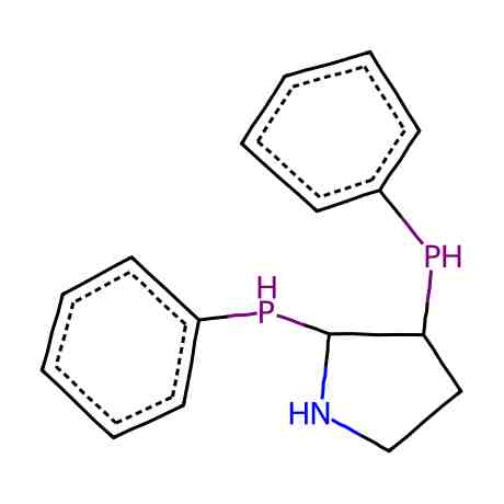 c1ccc(PC2CCNC2Pc2ccccc2)cc1